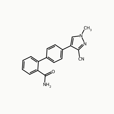 Cn1cc(-c2ccc(-c3ccccc3C(N)=O)cc2)c(C#N)n1